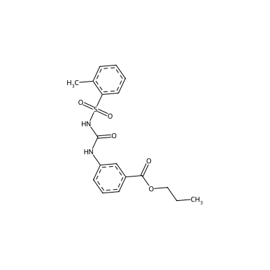 CCCOC(=O)c1cccc(NC(=O)NS(=O)(=O)c2ccccc2C)c1